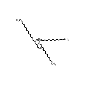 CCCCCCCCCCCCCC(CCCN)O[SiH](OCCCCCCCCCCCC)OCCCCCCCCCCCC